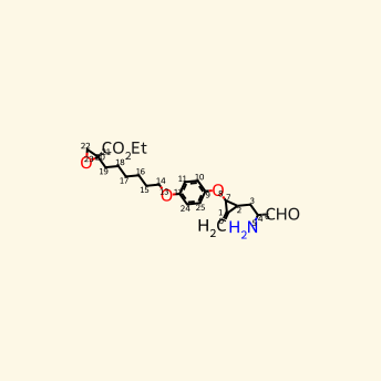 C=C1C(CC(N)C=O)C1Oc1ccc(OCCCCCCC2(C(=O)OCC)CO2)cc1